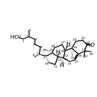 CC(CO)CCC[C@H](C)[C@H]1CC[C@H]2[C@@H]3CC=C4C(C)(C)C(=O)CC[C@]4(C)[C@H]3CC[C@]12C